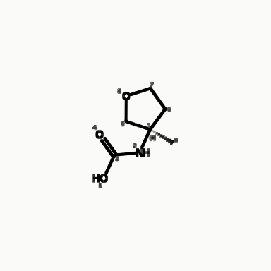 C[C@@]1(NC(=O)O)CCOC1